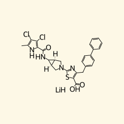 Cc1[nH]c(C(=O)NC2[C@H]3CN(c4nc(Cc5ccc(-c6ccccc6)cc5)c(C(=O)O)s4)C[C@@H]23)c(Cl)c1Cl.[LiH]